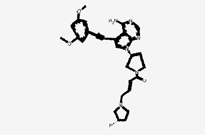 COc1cc(C#Cc2cn([C@H]3CCN(C(=O)C=CCN4CC[C@H](F)C4)C3)c3ncnc(N)c23)cc(OC)c1